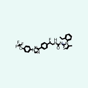 CCc1ccccc1-n1c(C)cs/c1=N\C(=O)NCC(F)c1ccc(-c2ncn(-c3ccc(OC(F)(F)F)cc3)n2)cc1